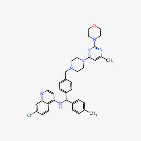 Cc1ccc(C(Nc2ccnc3cc(Cl)ccc23)c2ccc(CN3CCN(c4cc(C)nc(N5CCOCC5)n4)CC3)cc2)cc1